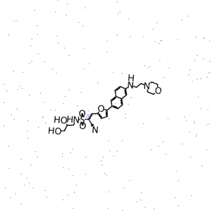 N#C/C(=C\c1ccc(-c2ccc3cc(NCCN4CCOCC4)ccc3c2)o1)S(=O)(=O)NCC(O)CO